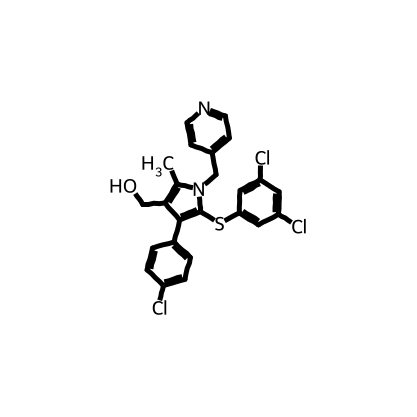 Cc1c(CO)c(-c2ccc(Cl)cc2)c(Sc2cc(Cl)cc(Cl)c2)n1Cc1ccncc1